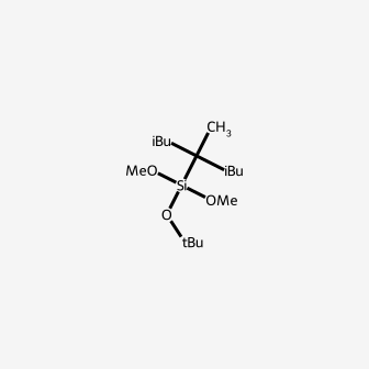 CCC(C)C(C)(C(C)CC)[Si](OC)(OC)OC(C)(C)C